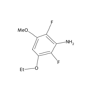 CCOc1cc(OC)c(F)c(N)c1F